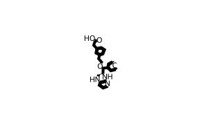 O=C(O)Cc1cccc(CCO[C@H](c2ccccc2)[C@H]2CNc3cccnc3N2)c1